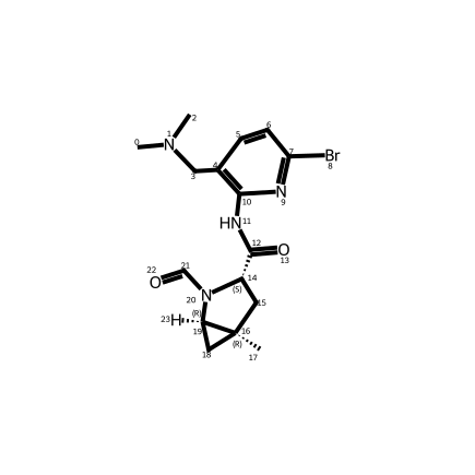 CN(C)Cc1ccc(Br)nc1NC(=O)[C@@H]1C[C@@]2(C)C[C@H]2N1C=O